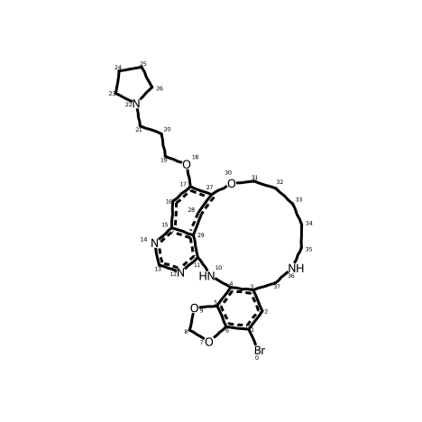 Brc1cc2c(c3c1OCO3)Nc1ncnc3cc(OCCCN4CCCC4)c(cc13)OCCCCCNC2